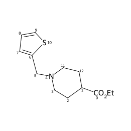 CCOC(=O)C1CCN(Cc2cccs2)CC1